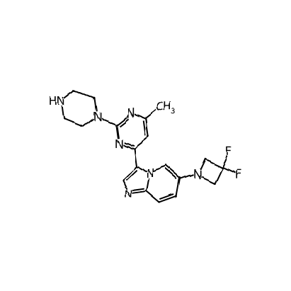 Cc1cc(-c2cnc3ccc(N4CC(F)(F)C4)cn23)nc(N2CCNCC2)n1